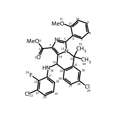 COC(=O)c1nc(-c2ccccc2OC)n2c1C(Nc1cccc(Cl)c1F)c1ccc(Cl)cc1C2(C)C